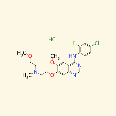 COCCN(C)CCOc1cc2ncnc(Nc3ccc(Cl)cc3F)c2cc1OC.Cl